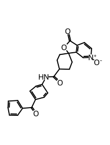 O=C(c1ccccc1)c1ccc(NC(=O)C2CCC3(CC2)OC(=O)c2cc[n+]([O-])cc23)cc1